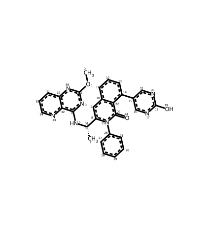 COc1nc(N[C@@H](C)c2cc3cccc(-c4cnc(O)nc4)c3c(=O)n2-c2ccccc2)c2ncccc2n1